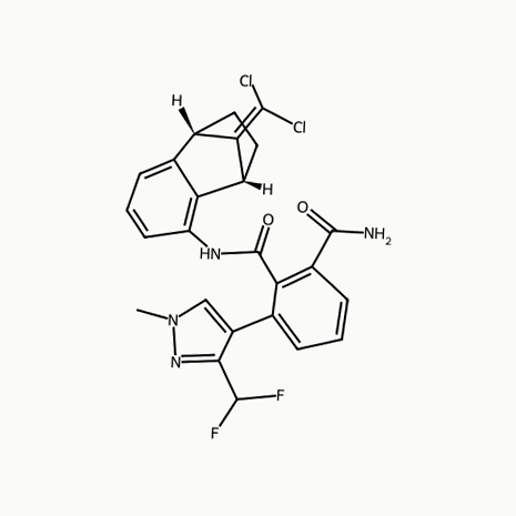 Cn1cc(-c2cccc(C(N)=O)c2C(=O)Nc2cccc3c2[C@H]2CC[C@@H]3C2=C(Cl)Cl)c(C(F)F)n1